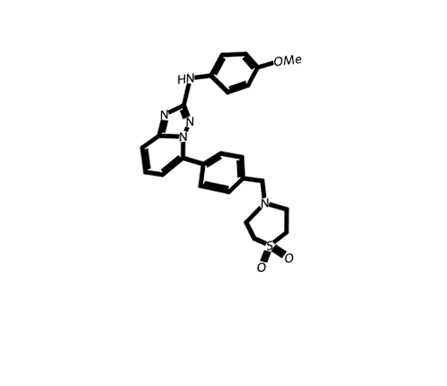 COc1ccc(Nc2nc3cccc(-c4ccc(CN5CCS(=O)(=O)CC5)cc4)n3n2)cc1